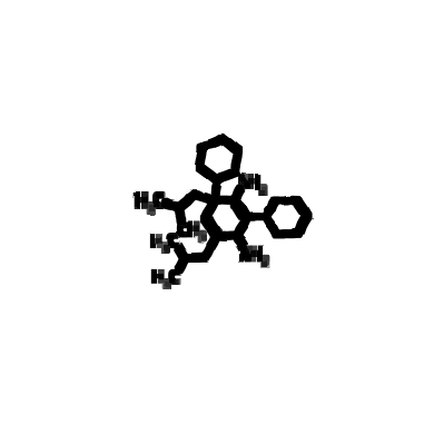 CC(C)CC1=CC(CC(C)C)(C2CCCCC2)C(N)=C(C2CCCCC2)C1N